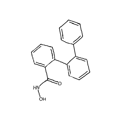 O=C(NO)c1ccccc1-c1ccccc1-c1ccccc1